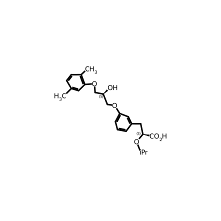 Cc1ccc(C)c(OC[C@@H](O)COc2cccc(C[C@H](OC(C)C)C(=O)O)c2)c1